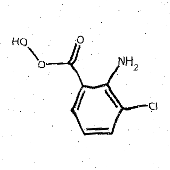 Nc1c(Cl)cccc1C(=O)OO